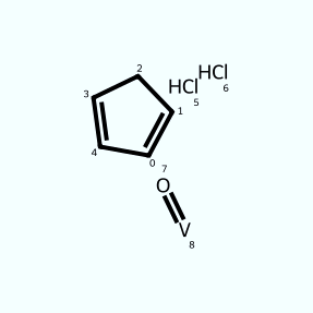 C1=CCC=C1.Cl.Cl.[O]=[V]